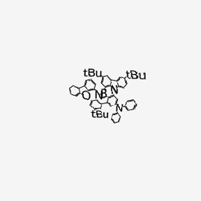 CC(C)(C)c1ccc2c(c1)-c1cc(N(c3ccccc3)c3ccccc3)cc3c1B(c1cc(C(C)(C)C)cc4c5cc(C(C)(C)C)ccc5n-3c14)N2c1cccc2c1oc1ccccc12